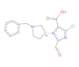 O=Cc1nc(Cl)c(C(=O)O)n1[C@@H]1CCN(Cc2ccccc2)C1